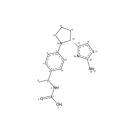 CC(NC(=O)O)c1ccc(N2CCC[C@@H]2c2csc(N)n2)cc1